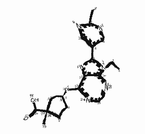 CCn1c(-c2cnc(C)nc2)nc2c(N[C@H]3CC[C@](C)(C(=O)O)C3)ncnc21